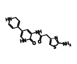 Nc1nc(CC(=O)Nc2cc(C3=CCNC=C3)c[nH]c2=O)cs1